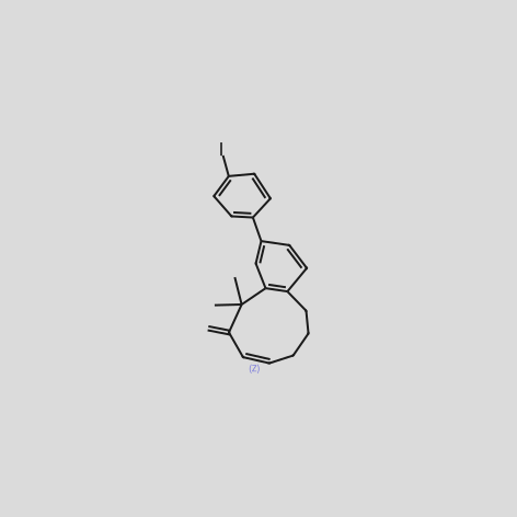 C=C1/C=C\CCCc2ccc(-c3ccc(I)cc3)cc2C1(C)C